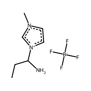 CCC(N)[n+]1ccn(C)c1.F[B-](F)(F)F